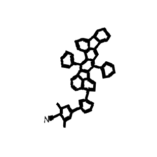 Cc1cc(-c2cccc(-c3ccc4c5c(-c6ccccc6)c6cc7c8ccccc8c8cccc(c6c(-c6ccccc6)c5c5cccc3c45)c87)c2)cc(C)c1C#N